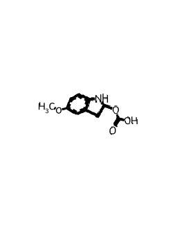 COc1ccc2c(c1)CC(OC(=O)O)N2